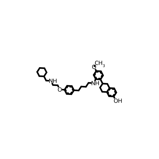 COc1ccc(C2CCc3cc(O)ccc3C2)c(NCCCCc2ccc(OCCNCC3CCCCC3)cc2)c1